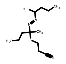 CCCC(C)N=NC(C)(CCC)SCCC#N